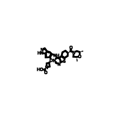 C[C@@H]1CN(C(=O)[C@H]2CCc3c(sc4ncnc(Nc5cc6cn[nH]c6cc5OC5CN(C(=O)O)C5)c34)C2)C[C@H](C)O1